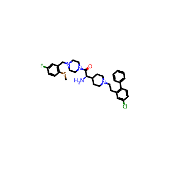 CSc1ccc(F)cc1CN1CCN(C(=O)[C@H](N)C2CCN(CCc3cc(Cl)ccc3-c3ccccc3)CC2)CC1